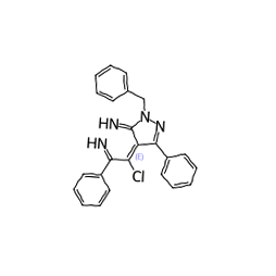 N=C(/C(Cl)=C1\C(=N)N(Cc2ccccc2)N=C1c1ccccc1)c1ccccc1